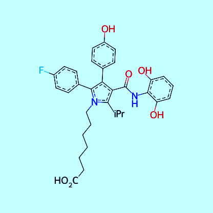 CC(C)c1c(C(=O)Nc2c(O)cccc2O)c(-c2ccc(O)cc2)c(-c2ccc(F)cc2)n1CCCCCCC(=O)O